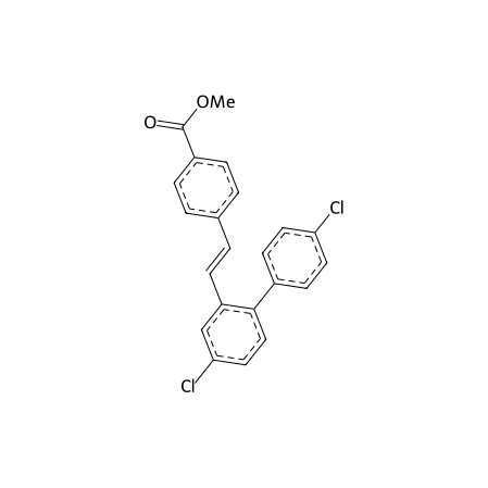 COC(=O)c1ccc(C=Cc2cc(Cl)ccc2-c2ccc(Cl)cc2)cc1